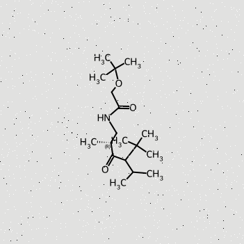 CC(C)C(C(=O)[C@H](C)CNC(=O)COC(C)(C)C)C(C)(C)C